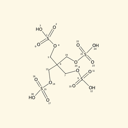 O=S(=O)(O)OCC(COS(=O)(=O)O)(COS(=O)(=O)O)COS(=O)(=O)O